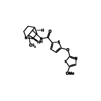 COc1cnc(Oc2ccc(C(=O)N[C@@H]3C4CCN(CC4)[C@H]3C)s2)s1